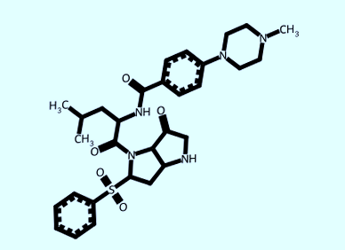 CC(C)CC(NC(=O)c1ccc(N2CCN(C)CC2)cc1)C(=O)N1C2C(=O)CNC2CC1S(=O)(=O)c1ccccc1